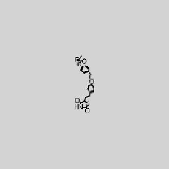 CS(=O)(=O)Oc1ccc(CCOc2ccc(CCC3SC(=O)NC3=O)cc2)cc1